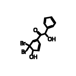 O=C(C1=CC(Br)(Br)C(O)C=C1)C(O)c1ccccc1